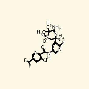 CC1(C)C(N)=N[C@](C)(c2cc(NC(=O)c3ncc(C(F)F)cc3Cl)cnc2F)CS1(=O)=O